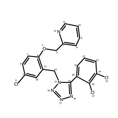 Clc1ccc(OCc2ccccn2)c(Cn2nnnc2-c2cccc(Cl)c2Cl)c1